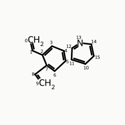 C=Cc1ccccc1C=C.c1ccncc1